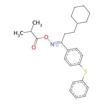 CC(C)C(=O)O/N=C(\CCC1CCCCC1)c1ccc(Sc2ccccc2)cc1